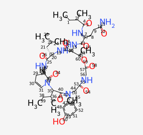 CCC(C)C(=O)N[C@@H](CCC(N)=O)C(=O)N[C@H]1C(=O)N[C@@H](CC(C)C)C(=O)N[C@H]2CC=CN(C2=O)C(C(C)CC)C(=O)N(C)[C@@H](Cc2ccc(O)cc2)C(=O)NCC(=O)O[C@@H]1C